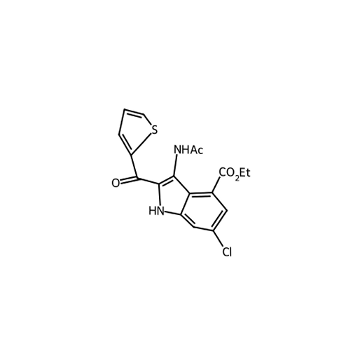 CCOC(=O)c1cc(Cl)cc2[nH]c(C(=O)c3cccs3)c(NC(C)=O)c12